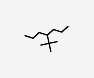 [CH2]CCC(CCC)C(C)(C)C